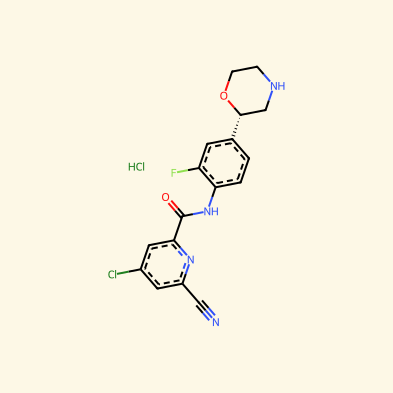 Cl.N#Cc1cc(Cl)cc(C(=O)Nc2ccc([C@H]3CNCCO3)cc2F)n1